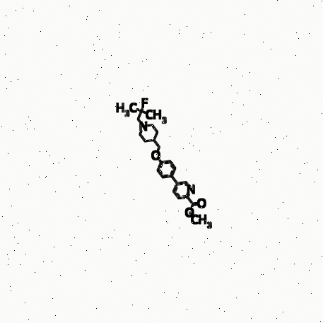 COC(=O)c1ccc(-c2ccc(OCC3CCN(CC(C)(C)F)CC3)cc2)cn1